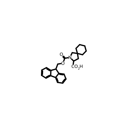 O=C(O)C1CC2(CCCCC2)CN1C(=O)OCC1c2ccccc2-c2ccccc21